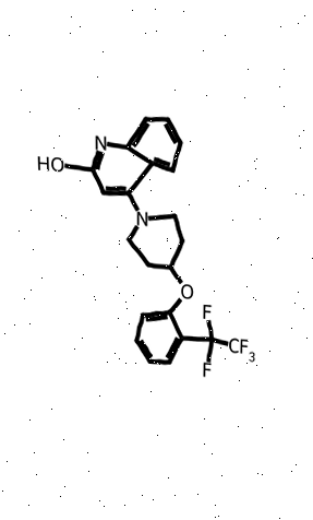 Oc1cc(N2CCC(Oc3ccccc3C(F)(F)C(F)(F)F)CC2)c2ccccc2n1